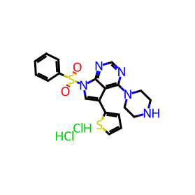 Cl.Cl.O=S(=O)(c1ccccc1)n1cc(-c2cccs2)c2c(N3CCNCC3)ncnc21